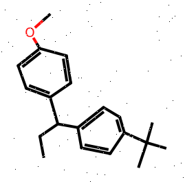 CCC(c1ccc(OC)cc1)c1ccc(C(C)(C)C)cc1